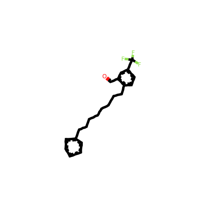 O=Cc1cc(C(F)(F)F)ccc1CCCCCCCCc1ccccc1